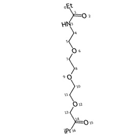 CCC(=O)NCCOCCOCCOCC(=O)C(C)C